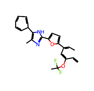 C=C/C(=C\C(=C/C)c1ccc(-c2nc(C)c(C3C=CC=CC=C3)[nH]2)o1)OC(C)(F)F